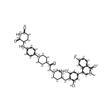 COc1cc(-c2cn(C)c(=O)c3ccc(F)cc23)cc(Cl)c1CC1CCN(CC(=O)C2CCN(c3ccc(NC4CCC(=O)NC4=O)cc3)CC2)CC1